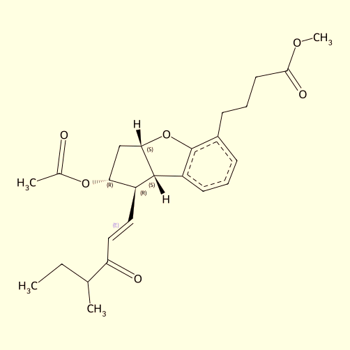 CCC(C)C(=O)/C=C/[C@@H]1[C@H]2c3cccc(CCCC(=O)OC)c3O[C@H]2C[C@H]1OC(C)=O